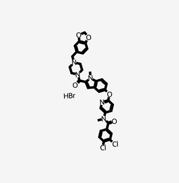 Br.CN(C(=O)c1ccc(Cl)c(Cl)c1)c1ccc(Oc2ccc3c(c2)cc(C(=O)N2CCN(Cc4ccc5c(c4)OCO5)CC2)n3C)nc1